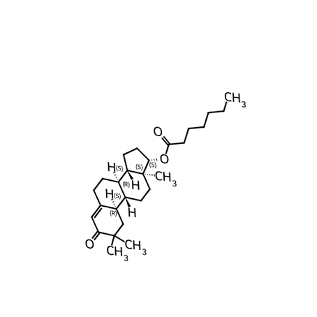 CCCCCCC(=O)O[C@H]1CC[C@H]2[C@@H]3CCC4=CC(=O)C(C)(C)C[C@@H]4[C@H]3CC[C@]12C